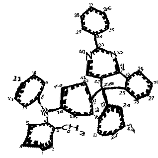 Cc1ccccc1N(c1ccccc1)c1ccc(C2(c3ccccc3)c3ccccc3-c3nc(-c4ccccc4)ncc32)cc1